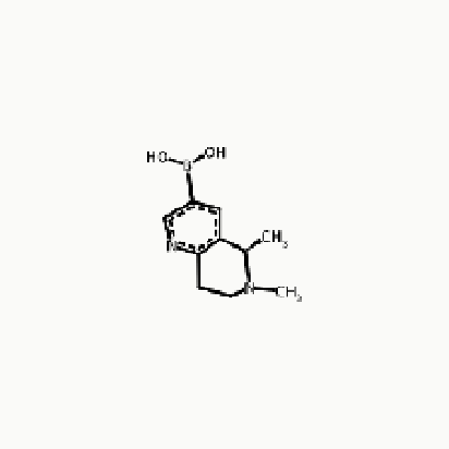 C[C@@H]1c2cc(B(O)O)cnc2CCN1C